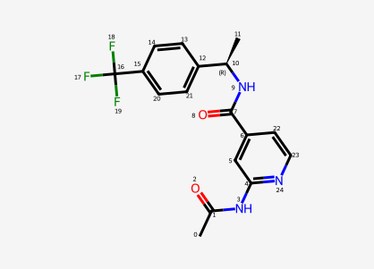 CC(=O)Nc1cc(C(=O)N[C@H](C)c2ccc(C(F)(F)F)cc2)ccn1